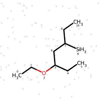 CCOC(CC)CC([SiH3])CC